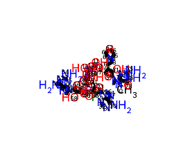 C[n+]1cn([C@@H]2O[C@H](COP(=O)(O)OP(=O)(O)OP(=O)(O)OC[C@H]3O[C@@H](n4cnc5c(N)ncnc54)[C@H](F)[C@@H]3P(=O)([O-])OC[C@H]3O[C@@H](n4cnc5c(N)nc(N)nc54)[C@H](O)[C@@H]3O)[C@@H](CCN3CCOCC3)[C@H]2O)c2nc(N)[nH]c(=O)c21